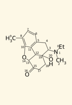 CCN(C)C1Cc2ccc(C)c3c2C2C(O3)C(=O)CCC21O